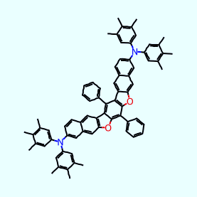 Cc1cc(N(c2cc(C)c(C)c(C)c2)c2ccc3cc4c(cc3c2)oc2c(-c3ccccc3)c3oc5cc6cc(N(c7cc(C)c(C)c(C)c7)c7cc(C)c(C)c(C)c7)ccc6cc5c3c(-c3ccccc3)c24)cc(C)c1C